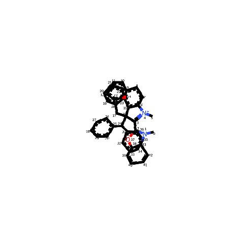 CN1C(C2=[N+](C)c3ccc4ccccc4c3C2(Cc2ccccc2)C(c2ccccc2)c2ccccc2)OC2C=CC=CC21